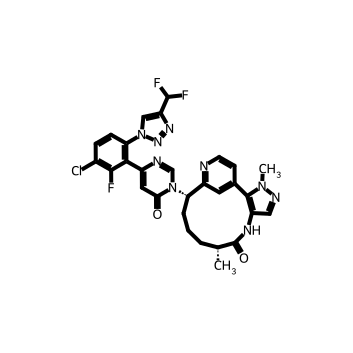 C[C@@H]1CCC[C@H](n2cnc(-c3c(-n4cc(C(F)F)nn4)ccc(Cl)c3F)cc2=O)c2cc(ccn2)-c2c(cnn2C)NC1=O